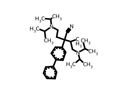 CC(C)N(CCC(C#N)(c1ccc(-c2ccccc2)cc1)C(C)CN(C(C)C)C(C)C)C(C)C